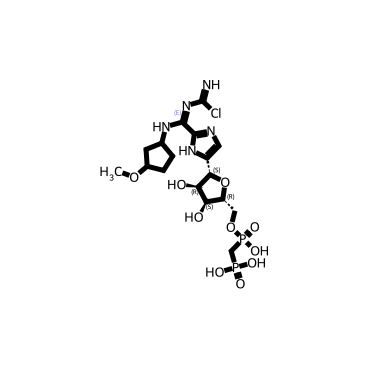 COC1CCC(N/C(=N/C(=N)Cl)c2ncc([C@@H]3O[C@H](COP(=O)(O)CP(=O)(O)O)[C@@H](O)[C@H]3O)[nH]2)C1